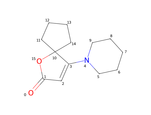 O=C1C=C(N2CCCCC2)C2(CCCC2)O1